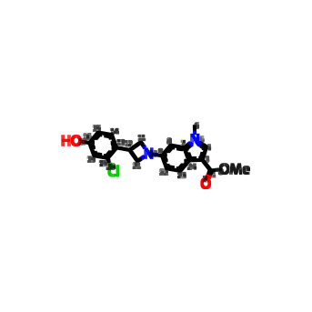 COC(=O)c1cn(C)c2cc(N3CC(c4ccc(O)cc4Cl)C3)ccc12